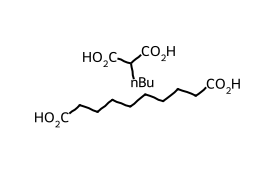 CCCCC(C(=O)O)C(=O)O.O=C(O)CCCCCCCCC(=O)O